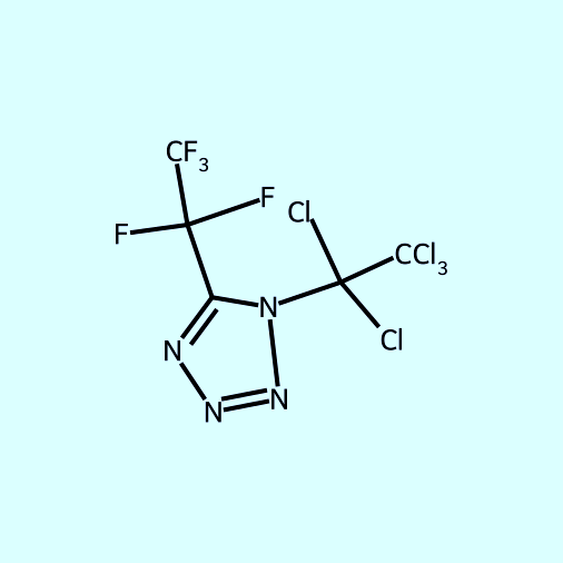 FC(F)(F)C(F)(F)c1nnnn1C(Cl)(Cl)C(Cl)(Cl)Cl